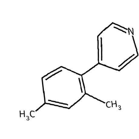 Cc1ccc(-c2ccncc2)c(C)c1